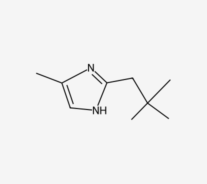 Cc1c[nH]c(CC(C)(C)C)n1